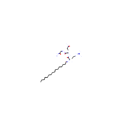 CCCCCCCCCCCCCCCC(=O)N[C@@H](CCCNC(=N)N)C(=O)N[C@@H](CCC(N)=O)C(=O)N[C@@H](C)C(=O)NC